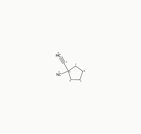 C#CC1(C#N)CCCC1